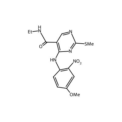 CCNC(=O)c1cnc(SC)nc1Nc1ccc(OC)cc1[N+](=O)[O-]